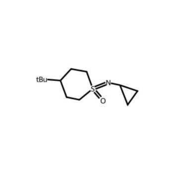 CC(C)(C)C1CCS(=O)(=NC2CC2)CC1